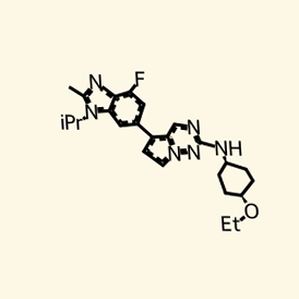 CCO[C@H]1CC[C@@H](Nc2ncc3c(-c4cc(F)c5nc(C)n(C(C)C)c5c4)ccn3n2)CC1